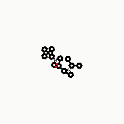 c1ccc(-c2cc(-c3ccccc3)cc(-n3c4ccccc4c4ccc(-c5cccc(-c6ccccc6N(c6ccccc6)c6ccc7c(c6)-c6ccccc6C7(c6ccccc6)c6ccccc6)c5)cc43)c2)cc1